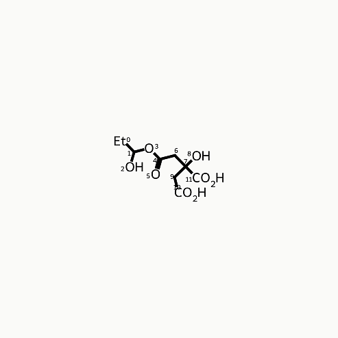 CCC(O)OC(=O)CC(O)(CC(=O)O)C(=O)O